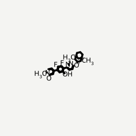 Cn1ccc(-c2cc(O)c(-c3ccc(O[C@H]4C[C@]5(C)CCC[C@](C)(C4)C5)nn3)c(F)c2F)cc1=O